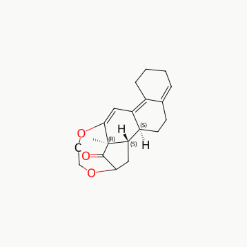 C[C@@]12C(=O)C3C[C@H]1[C@@H]1CCC4=CCCCC4=C1C=C2OCCO3